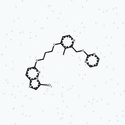 Cc1c(SCCCSc2ccc3ncc([N+](=O)[O-])n3n2)ccnc1CSc1ncccn1